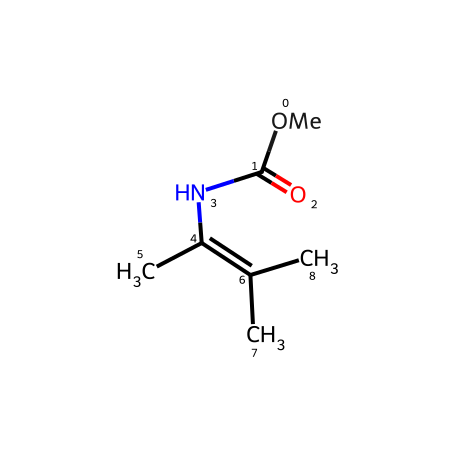 COC(=O)NC(C)=C(C)C